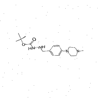 CN1CCN(c2ccc(CNNC(=O)OC(C)(C)C)cc2)CC1